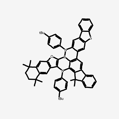 CC(C)(C)c1ccc(N2B3c4oc5cc6c(cc5c4N(c4ccc(C(C)(C)C)cc4)c4c3c(cc3c4C(C)(C)c4ccccc4-3)-c3cc4sc5ccccc5c4cc32)C(C)(C)CCC6(C)C)cc1